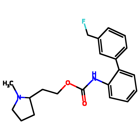 CN1CCCC1CCOC(=O)Nc1ccccc1-c1cccc(CF)c1